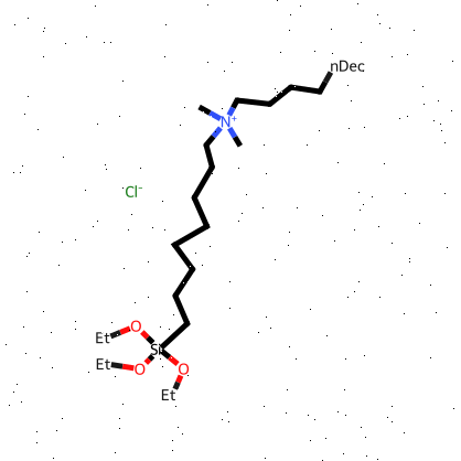 CCCCCCCCCCCCCC[N+](C)(C)CCCCCCCC[Si](OCC)(OCC)OCC.[Cl-]